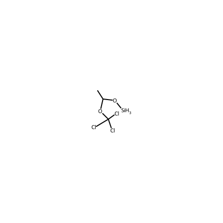 CC(O[SiH3])OC(Cl)(Cl)Cl